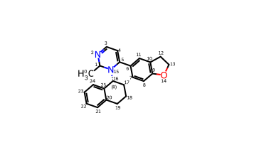 CC1N=CC=C(c2ccc3c(c2)CCO3)N1[C@@H]1CCCc2ccccc21